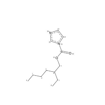 CCCCC(CC)COC(=O)n1ccnc1